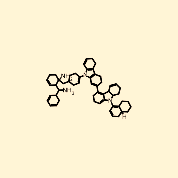 NC(C1C=CC=CC1)C1C=CCC[C@]1(N)CC1CC=C(n2c3c(c4c2C=C(C2=C5C(=CCC2)N(C2=C6CCCC[C@@H]6CC=C2)C2CCC=CC52)CC4)CCC=C3)CC1